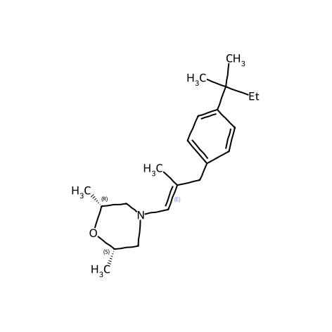 CCC(C)(C)c1ccc(C/C(C)=C/N2C[C@@H](C)O[C@@H](C)C2)cc1